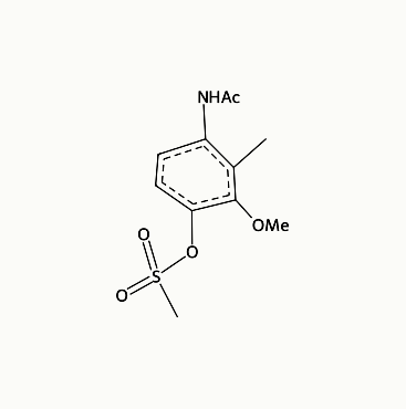 COc1c(OS(C)(=O)=O)ccc(NC(C)=O)c1C